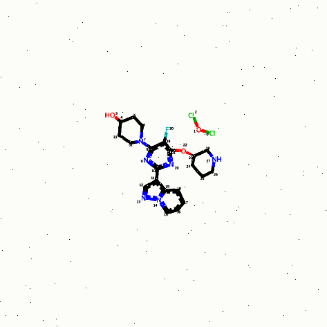 ClOCl.OC1CCN(c2nc(-c3cnn4ccccc34)nc(O[C@@H]3CCCNC3)c2F)CC1